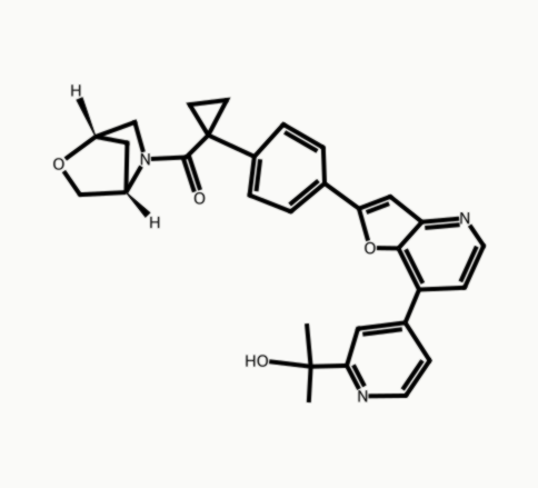 CC(C)(O)c1cc(-c2ccnc3cc(-c4ccc(C5(C(=O)N6C[C@@H]7C[C@H]6CO7)CC5)cc4)oc23)ccn1